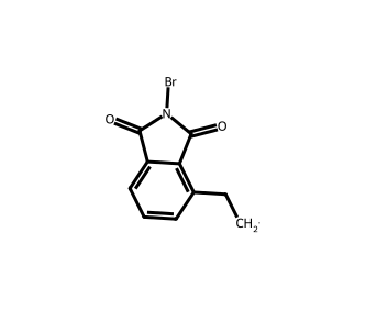 [CH2]Cc1cccc2c1C(=O)N(Br)C2=O